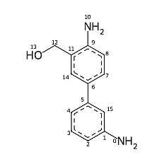 Nc1cccc(-c2ccc(N)c(CO)c2)c1